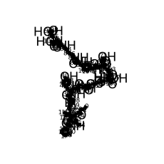 CCCC(=O)OCN(C(=O)[C@@H](NC(=O)[C@H]1CCCCN1C)C(C)CC)[C@H](CCc1nc(C(=O)N[C@@H](Cc2ccc(O)cc2)C[C@H](C)C(=O)NNC(=O)OCCSSC[C@@H](NC(=O)[C@H](C)NC(=O)[C@H](CC(=O)O)NC(=O)Cc2ccc(CNC(=O)NCCCCCNC(=O)N[C@@H](CCC(=O)O)C(=O)O)cc2)C(=O)O)cs1)C(C)C